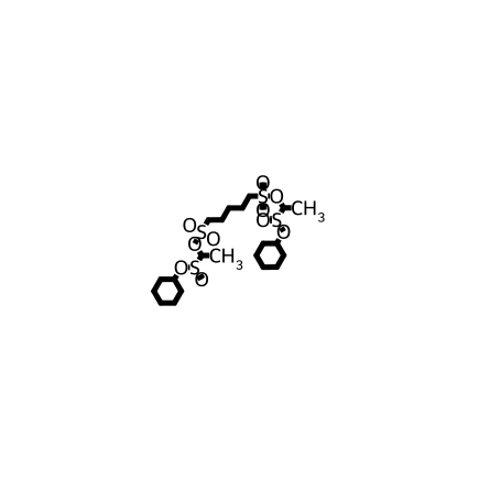 CC(OS(=O)(=O)CCCCCS(=O)(=O)OC(C)S(=O)OC1CCCCC1)S(=O)OC1CCCCC1